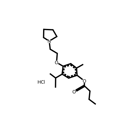 CCCC(=O)Oc1cc(C(C)C)c(OCCN2CCCC2)cc1C.Cl